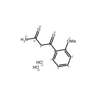 COc1ccccc1C(=O)CC(N)=O.Cl.Cl